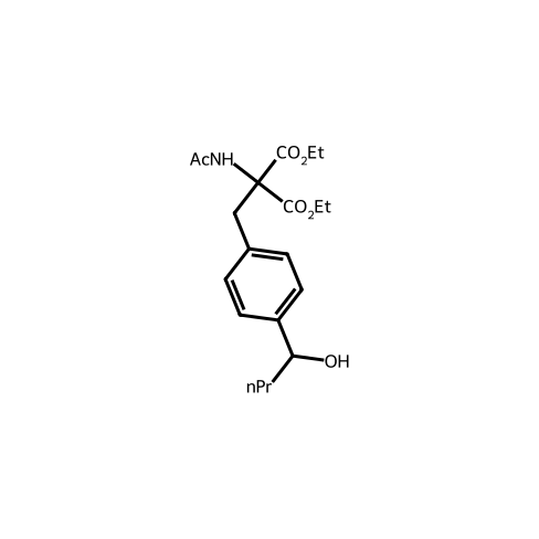 CCCC(O)c1ccc(CC(NC(C)=O)(C(=O)OCC)C(=O)OCC)cc1